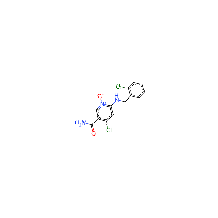 NC(=O)c1c[n+]([O-])c(NCc2ccccc2Cl)cc1Cl